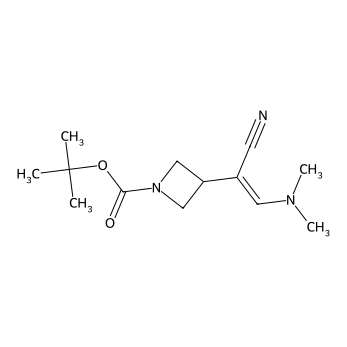 CN(C)/C=C(\C#N)C1CN(C(=O)OC(C)(C)C)C1